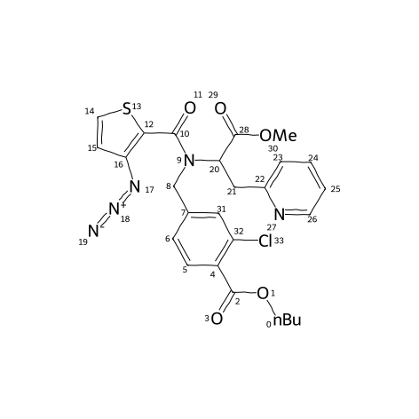 CCCCOC(=O)c1ccc(CN(C(=O)c2sccc2N=[N+]=[N-])C(Cc2ccccn2)C(=O)OC)cc1Cl